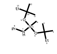 CCC(C)(C)O[Si](C)(NC(C)C)OC(C)(C)CC